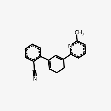 Cc1cccc(C2=CC(c3ccccc3C#N)=C[CH]C2)n1